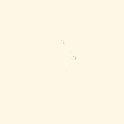 OCc1cncc(-c2cc(OCc3ccc(F)cc3)nc3c2CCC3)c1